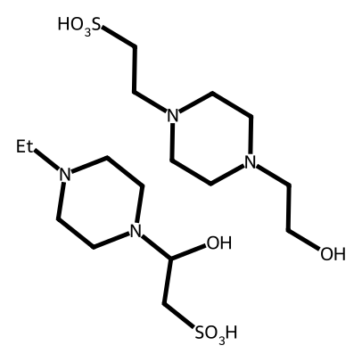 CCN1CCN(C(O)CS(=O)(=O)O)CC1.O=S(=O)(O)CCN1CCN(CCO)CC1